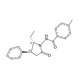 CC[C@H]1[C@H](c2ccccc2)CC(=O)N1NC(=O)c1ccc(C)cc1